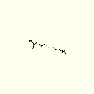 NCCCCCOOC(=O)O